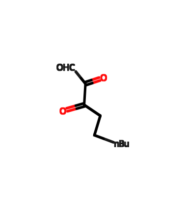 CCCCCCC(=O)C(=O)C=O